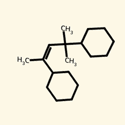 CC(=CC(C)(C)C1CCCCC1)C1CCCCC1